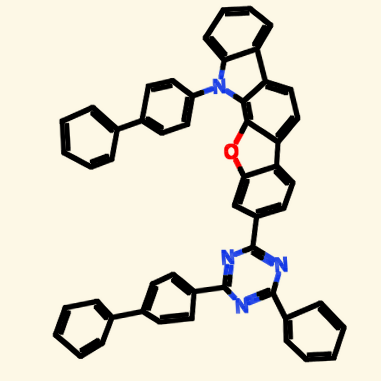 c1ccc(-c2ccc(-c3nc(-c4ccccc4)nc(-c4ccc5c(c4)oc4c5ccc5c6ccccc6n(-c6ccc(-c7ccccc7)cc6)c54)n3)cc2)cc1